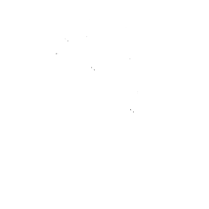 CCC1CO[C@@H]2Cn3cc(C(=O)NCc4ccc(F)cc4F)c(=O)c(O)c3C(=O)N12